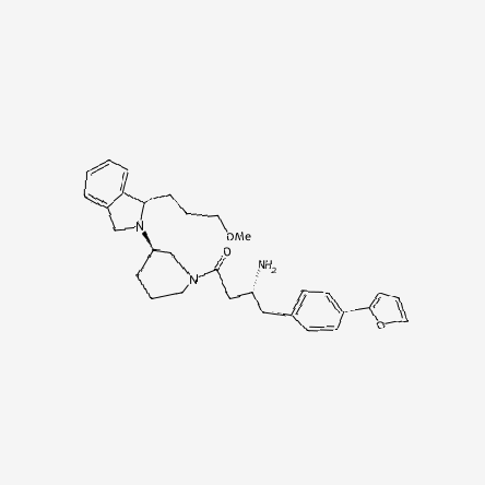 COCCCC1c2ccccc2CN1[C@@H]1CCCN(C(=O)C[C@H](N)Cc2ccc(-c3ccco3)cc2)C1